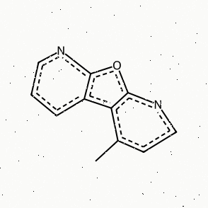 Cc1ccnc2oc3ncccc3c12